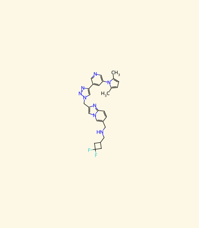 Cc1ccc(C)n1-c1cncc(-c2cn(Cc3cn4cc(CNCC5CC(F)(F)C5)ccc4n3)nn2)c1